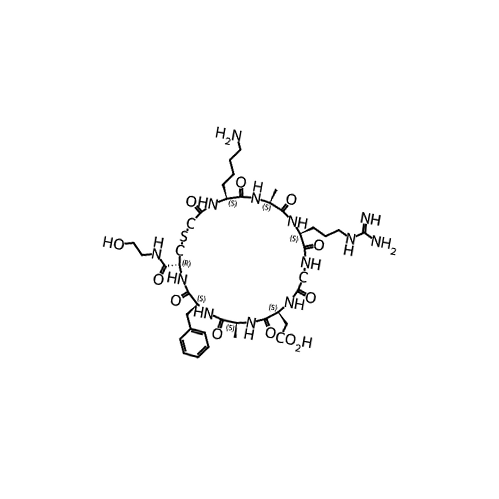 C[C@@H]1NC(=O)[C@H](CCCCN)NC(=O)CSC[C@@H](C(=O)NCCO)NC(=O)[C@H](Cc2ccccc2)NC(=O)[C@H](C)NC(=O)[C@H](CC(=O)O)NC(=O)CNC(=O)[C@H](CCCNC(=N)N)NC1=O